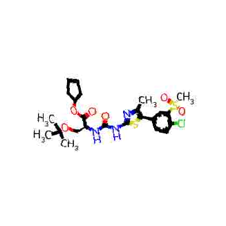 Cc1nc(NC(=O)N[C@@H](COC(C)(C)C)C(=O)OC2CCCC2)sc1-c1ccc(Cl)c(S(C)(=O)=O)c1